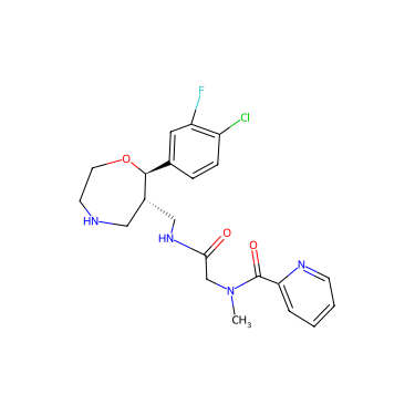 CN(CC(=O)NC[C@@H]1CNCCO[C@H]1c1ccc(Cl)c(F)c1)C(=O)c1ccccn1